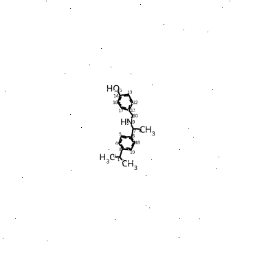 CC(C)c1ccc(C(C)NCc2ccc(O)cc2)cc1